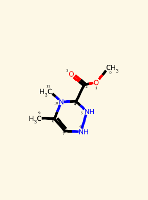 COC(=O)C1NNC=C(C)N1C